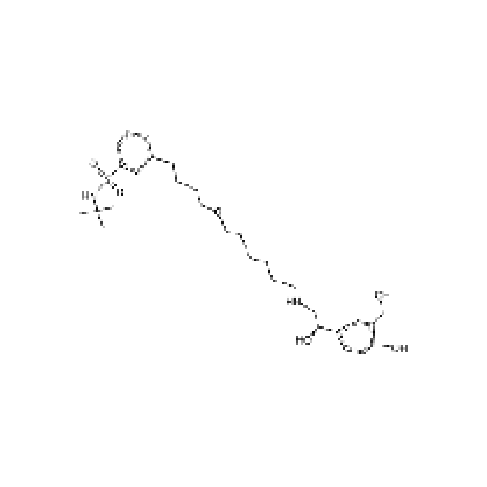 CC(C)(C)NS(=O)(=O)c1cccc(CCCCOCCCCCCNC[C@H](O)c2ccc(O)c(CO)c2)c1